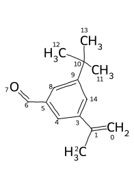 C=C(C)c1cc(C=O)cc(C(C)(C)C)c1